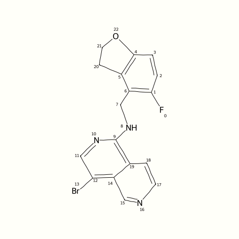 Fc1ccc2c(c1CNc1ncc(Br)c3cnccc13)CCO2